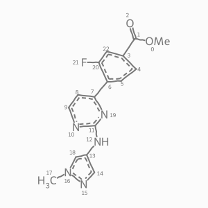 COC(=O)c1ccc(-c2ccnc(Nc3cnn(C)c3)n2)c(F)c1